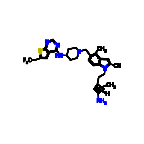 Cc1c(CN2CCC(Nc3ncnc4sc(CC(F)(F)F)cc34)CC2)ccc2c1cc(C#N)n2CCC12CC(N)(C1)[C@H]2C